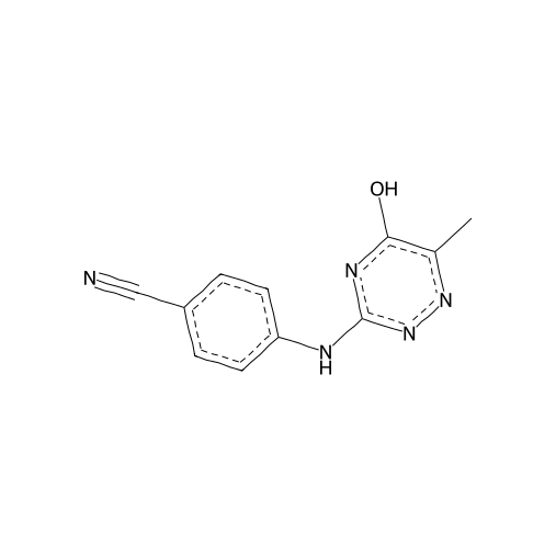 Cc1nnc(Nc2ccc(C#N)cc2)nc1O